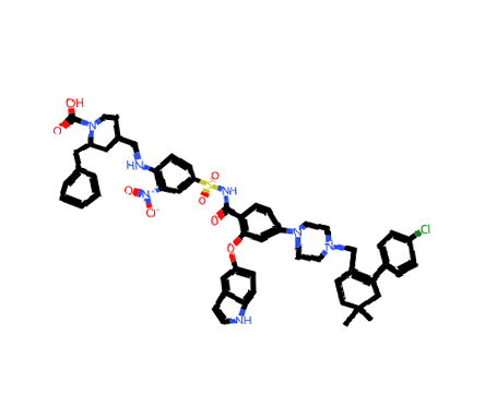 CC1(C)CCC(CN2CCN(c3ccc(C(=O)NS(=O)(=O)c4ccc(NCC5CCN(C(=O)O)C(Cc6ccccc6)C5)c([N+](=O)[O-])c4)c(Oc4ccc5[nH]ccc5c4)c3)CC2)=C(c2ccc(Cl)cc2)C1